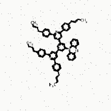 CCCCc1ccc(-c2cc(-c3cc(-c4cc(-c5ccc(CCCC)cc5)nc(-c5ccc(CCCC)cc5)c4)cc(N4c5ccccc5Oc5ccccc54)c3)cc(-c3ccc(CCCC)cc3)n2)cc1